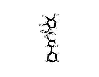 O=S(=O)(Nc1csc(-c2ccccc2)c1)c1ccc(F)c(F)c1F